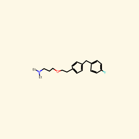 CCN(CC)CCCOCCc1ccc(Cc2ccc(F)cc2)cc1